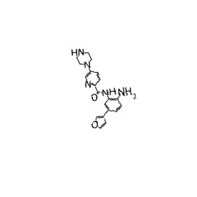 Nc1ccc(-c2ccoc2)cc1NC(=O)c1ccc(N2CCNCC2)cn1